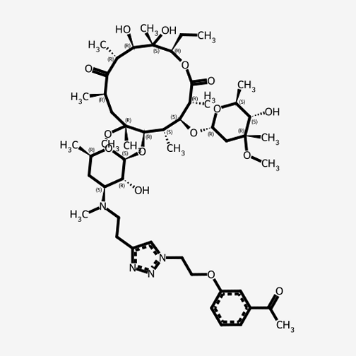 CC[C@H]1OC(=O)[C@H](C)[C@@H](O[C@H]2C[C@@](C)(OC)[C@@H](O)[C@H](C)O2)[C@H](C)[C@@H](O[C@@H]2O[C@H](C)C[C@H](N(C)CCc3cn(CCOc4cccc(C(C)=O)c4)nn3)[C@H]2O)[C@](C)(OC)C[C@@H](C)C(=O)[C@H](C)[C@@H](O)[C@]1(C)O